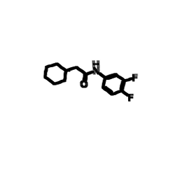 O=C(C[C]1CCCCC1)Nc1ccc(F)c(F)c1